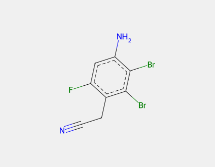 N#CCc1c(F)cc(N)c(Br)c1Br